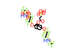 O=C(CCS(=O)(=O)O)OC12CC3CC(OSC(F)(F)C(F)(F)C(F)(F)SNSC(F)(F)F)(CC(OSC(F)(F)C(F)(F)C(F)(F)S(=O)(=O)NS(=O)(=O)C(F)(F)F)(C3)C1)C2